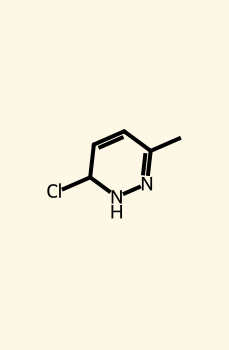 CC1=NNC(Cl)C=C1